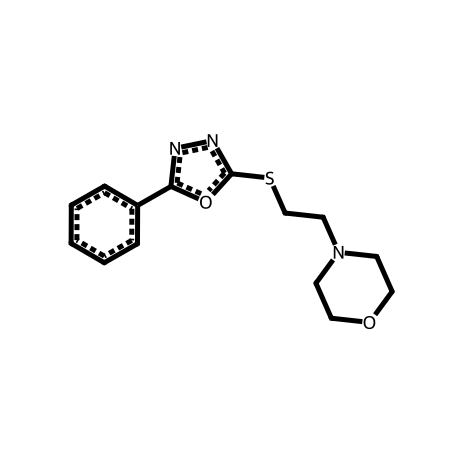 c1ccc(-c2nnc(SCCN3CCOCC3)o2)cc1